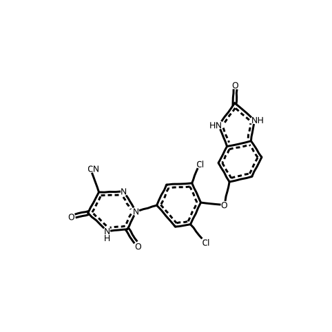 N#Cc1nn(-c2cc(Cl)c(Oc3ccc4[nH]c(=O)[nH]c4c3)c(Cl)c2)c(=O)[nH]c1=O